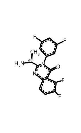 C[C@H](N)c1nc2ccc(F)c(F)c2c(=O)n1-c1cc(F)cc(F)c1